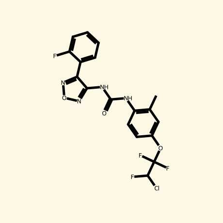 Cc1cc(OC(F)(F)C(F)Cl)ccc1NC(=O)Nc1nonc1-c1ccccc1F